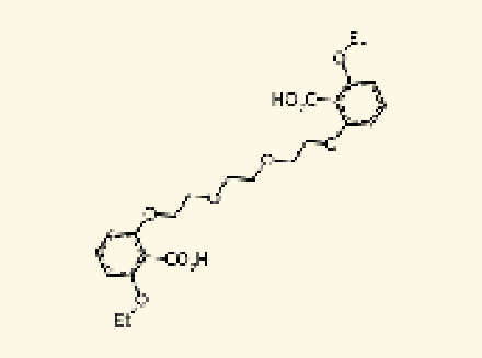 CCOc1cccc(OCCOCCOCCOc2cccc(OCC)c2C(=O)O)c1C(=O)O